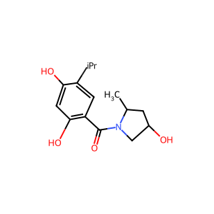 CC(C)c1cc(C(=O)N2CC(O)CC2C)c(O)cc1O